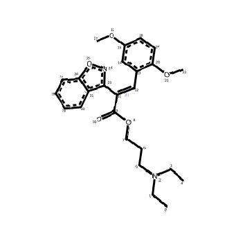 CCN(CC)CCCOC(=O)/C(=C/c1cc(OC)ccc1OC)c1noc2ccccc12